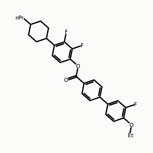 CCCC1CCC(c2ccc(OC(=O)c3ccc(-c4ccc(OCC)c(F)c4)cc3)c(F)c2F)CC1